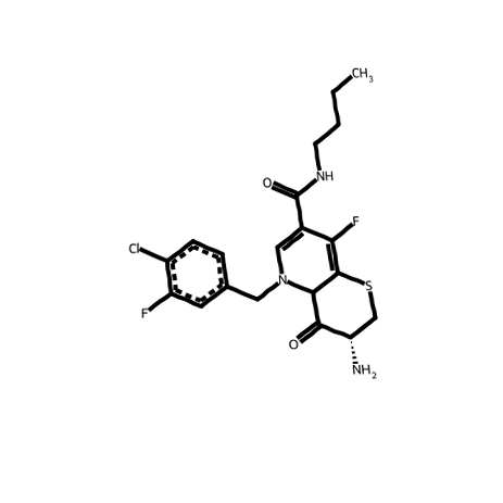 CCCCNC(=O)C1=CN(Cc2ccc(Cl)c(F)c2)C2C(=O)[C@@H](N)CSC2=C1F